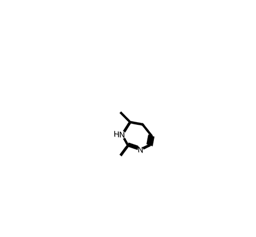 CC1=NC#CCC(C)N1